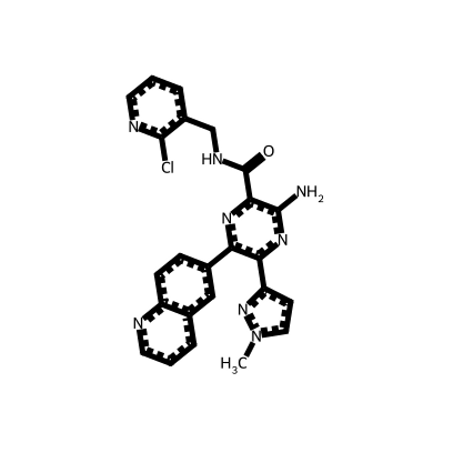 Cn1ccc(-c2nc(N)c(C(=O)NCc3cccnc3Cl)nc2-c2ccc3ncccc3c2)n1